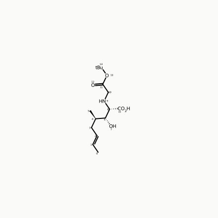 C/C=C/C[C@@H](C)[C@@H](O)[C@H](NCC(=O)OC(C)(C)C)C(=O)O